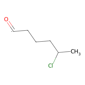 CC(Cl)CCC[C]=O